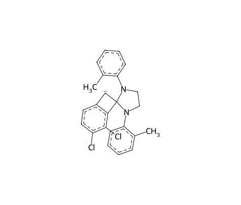 Cc1ccccc1N1CCN(c2ccccc2C)C12[C]c1ccc(Cl)c(Cl)c12